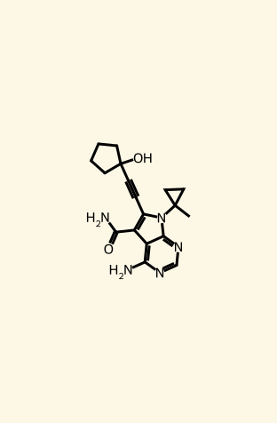 CC1(n2c(C#CC3(O)CCCC3)c(C(N)=O)c3c(N)ncnc32)CC1